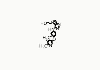 Cc1ccc(Oc2ccc(Nc3ncnc4ccn(CCO)c34)cc2C)cn1